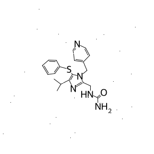 CC(C)c1nc(CNC(N)=O)n(Cc2ccncc2)c1Sc1ccccc1